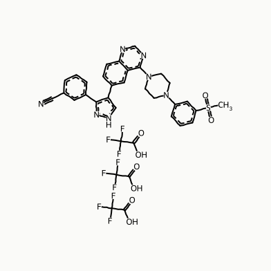 CS(=O)(=O)c1cccc(N2CCN(c3ncnc4ccc(-c5c[nH]nc5-c5cccc(C#N)c5)cc34)CC2)c1.O=C(O)C(F)(F)F.O=C(O)C(F)(F)F.O=C(O)C(F)(F)F